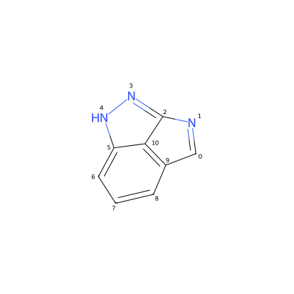 C1=Nc2n[nH]c3cccc1c23